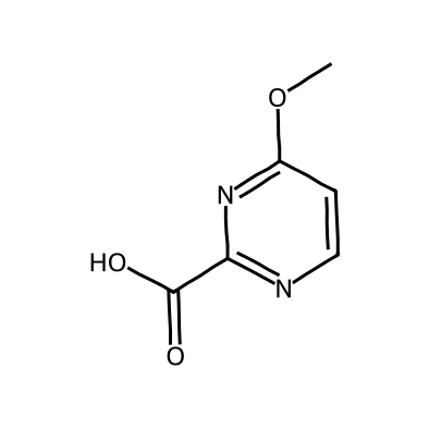 COc1ccnc(C(=O)O)n1